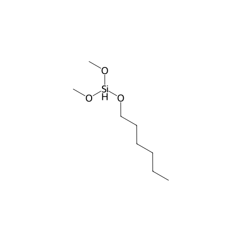 CCCCCCO[SiH](OC)OC